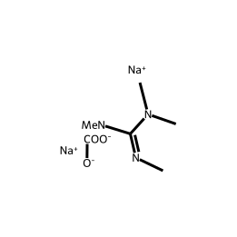 CN=C(NC)N(C)C.O=C([O-])[O-].[Na+].[Na+]